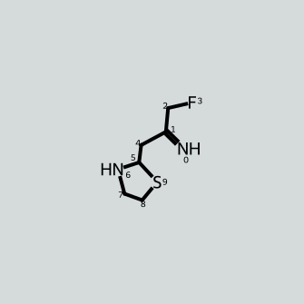 N=C(CF)CC1NCCS1